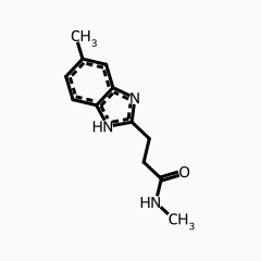 CNC(=O)CCc1nc2cc(C)ccc2[nH]1